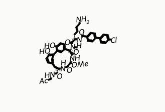 CO[C@@H]1NC(=O)[C@@H](N(C)C(=O)[C@H](CCCCN)NC(=O)c2ccc(-c3ccc(Cl)cc3)cc2)c2ccc(O)c(c2)-c2cc(ccc2O)C[C@@H](C(=O)NCC(C)=O)NC1=O